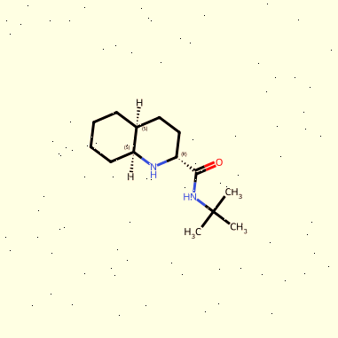 CC(C)(C)NC(=O)[C@H]1CC[C@@H]2CCCC[C@@H]2N1